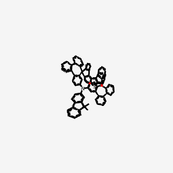 CC1(C)c2ccccc2-c2ccc(N(c3ccc4c(c3)-c3ccccc3-c3ccccc3N4c3ccccc3)c3ccc4c(c3)C3(c5ccccc5-c5ccccc5-4)c4ccccc4-c4c3ccc3sc5ccccc5c43)cc21